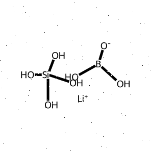 O[Si](O)(O)O.[Li+].[O-]B(O)O